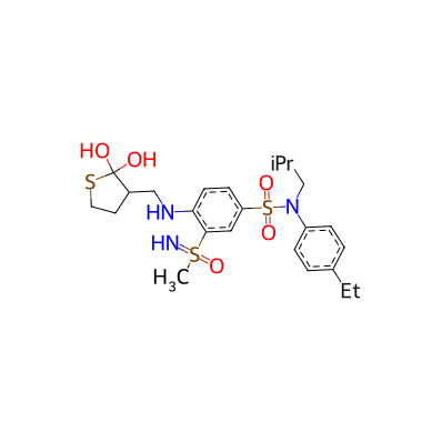 CCc1ccc(N(CC(C)C)S(=O)(=O)c2ccc(NCC3CCSC3(O)O)c(S(C)(=N)=O)c2)cc1